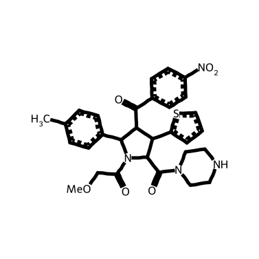 COCC(=O)N1C(C(=O)N2CCNCC2)C(c2cccs2)C(C(=O)c2ccc([N+](=O)[O-])cc2)C1c1ccc(C)cc1